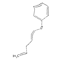 C=CCC=COc1ccccc1